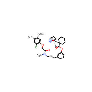 COc1cc(OCC(=O)N(C)CCCc2cccc(OC(=O)C3([C@@H]4CN5CCC4CC5)CCCCC3)c2)c(Cl)cc1C=O